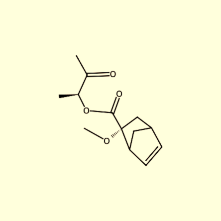 CO[C@]1(C(=O)O[C@@H](C)C(C)=O)CC2C=CC1C2